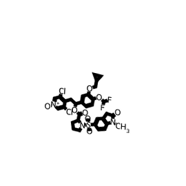 CN1C(=O)Cc2cc(S(=O)(=O)N3CCCC3C(=O)OC(Cc3c(Cl)c[n+]([O-])cc3Cl)c3ccc(OC(F)F)c(OCC4CC4)c3)ccc21